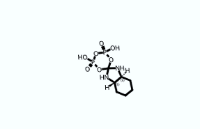 O=P1(O)OC2(N[C@H]3CCCC[C@@H]3N2)OP(=O)(O)O1